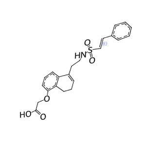 O=C(O)COc1cccc2c1CCC=C2CCNS(=O)(=O)/C=C/c1ccccc1